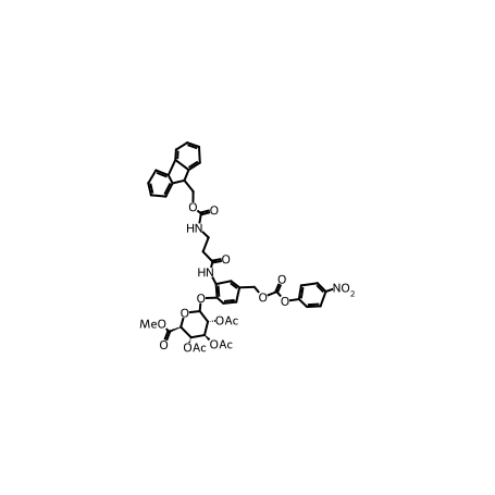 COC(=O)[C@H]1OC(Oc2ccc(COC(=O)Oc3ccc([N+](=O)[O-])cc3)cc2NC(=O)CCNC(=O)OCC2c3ccccc3-c3ccccc32)[C@H](OC(C)=O)[C@@H](OC(C)=O)[C@@H]1OC(C)=O